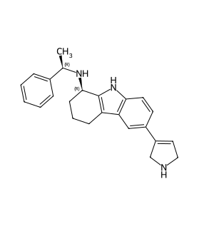 C[C@@H](N[C@@H]1CCCc2c1[nH]c1ccc(C3=CCNC3)cc21)c1ccccc1